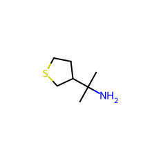 CC(C)(N)C1CCSC1